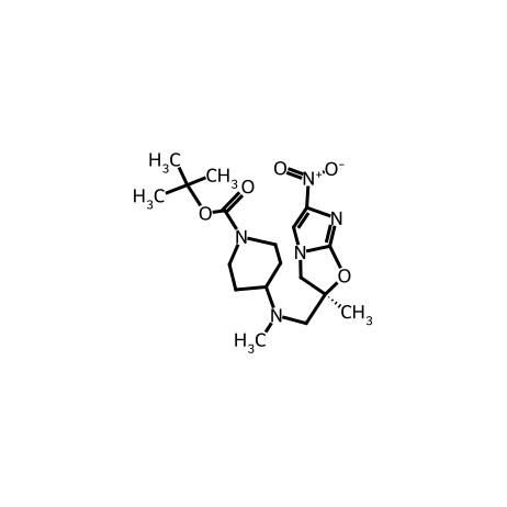 CN(C[C@@]1(C)Cn2cc([N+](=O)[O-])nc2O1)C1CCN(C(=O)OC(C)(C)C)CC1